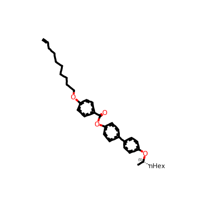 C=CCCCCCCCCOc1ccc(C(=O)Oc2ccc(-c3ccc(O[C@@H](C)CCCCCC)cc3)cc2)cc1